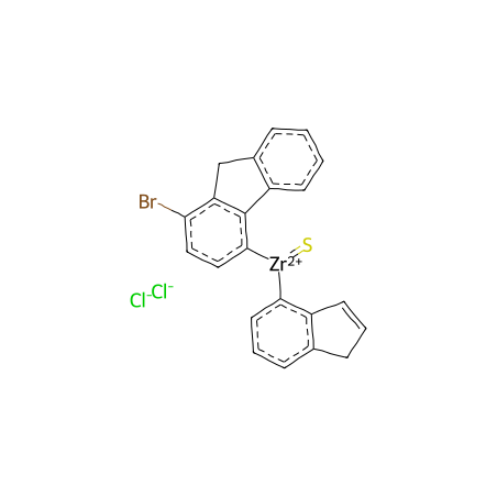 [Cl-].[Cl-].[S]=[Zr+2]([c]1cccc2c1C=CC2)[c]1ccc(Br)c2c1-c1ccccc1C2